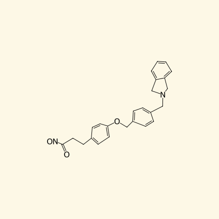 O=NC(=O)CCc1ccc(OCc2ccc(CN3Cc4ccccc4C3)cc2)cc1